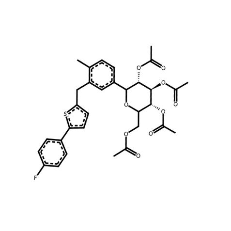 CC(=O)OCC1OC(c2ccc(C)c(Cc3ccc(-c4ccc(F)cc4)s3)c2)[C@H](OC(C)=O)[C@@H](OC(C)=O)[C@@H]1OC(C)=O